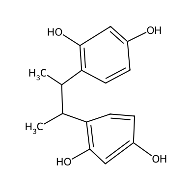 CC(c1ccc(O)cc1O)C(C)c1ccc(O)cc1O